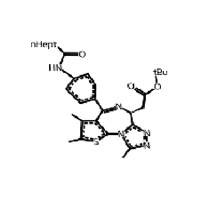 CCCCCCCC(=O)Nc1ccc(C2=N[C@@H](CC(=O)OC(C)(C)C)c3nnc(C)n3-c3sc(C)c(C)c32)cc1